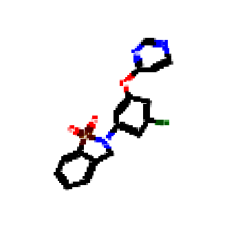 O=S1(=O)c2ccccc2CN1c1cc(F)cc(Oc2ccncn2)c1